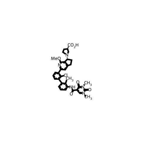 COc1nc(-c2cccc(-c3cccc(NC(=O)c4cn(C)c(=O)n(C)c4=O)c3C)c2Cl)cc2c1[C@H](N1CC[C@@H](C(=O)O)C1)CC2